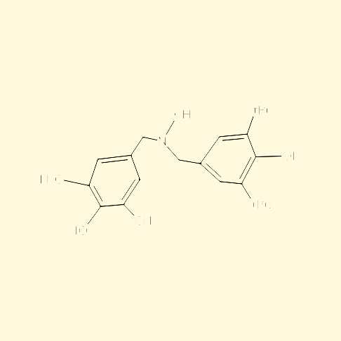 Cc1cc(CN(C)Cc2cc(C(C)(C)C)c(O)c(C(C)(C)C)c2)cc(C)c1O